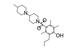 CCCc1c(C)c(S(=O)(=O)N2CCC(N3CCC(C)CC3)CC2)c(C)c(C)c1O